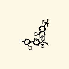 CCS(=O)(=O)c1ccc(-c2ccc(F)cc2Cl)nc1-n1ncc2cc(C(F)(F)F)ccc2c1=O